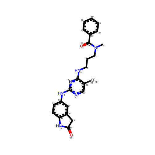 CN(CCCNc1nc(Nc2ccc3c(c2)CC(=O)N3)ncc1C(F)(F)F)C(=O)c1ccccc1